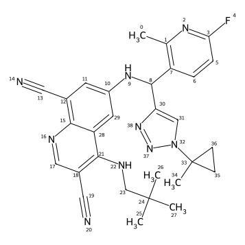 Cc1nc(F)ccc1C(Nc1cc(C#N)c2ncc(C#N)c(NCC(C)(C)C)c2c1)c1cn(C2(C)CC2)nn1